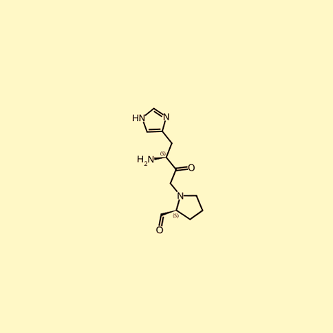 N[C@@H](Cc1c[nH]cn1)C(=O)CN1CCC[C@H]1C=O